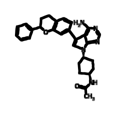 CC(=O)N[C@H]1CC[C@@H](n2cc(-c3ccc4c(c3)OC(c3ccccc3)CC4)c3c(N)ncnc32)CC1